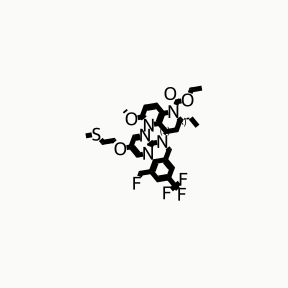 CCOC(=O)N1c2ccc(OC)nc2[C@@H](N(Cc2cc(CF)cc(C(F)(F)F)c2)c2ncc(OCCSC)cn2)C[C@H]1CC